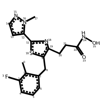 Cc1c(F)cccc1Cc1sc(-c2ccnn2C)nc1CCC(=O)NO